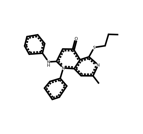 CCCSc1nc(C)cc2c1c(=O)cc(Nc1ccccc1)n2-c1ccccc1